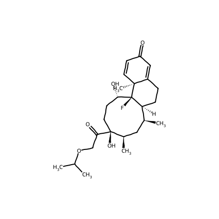 CC(C)OCC(=O)[C@]1(O)CC[C@H](O)[C@@]2(F)[C@@H](CCC3=CC(=O)C=C[C@@]32C)[C@@H](C)C[C@H]1C